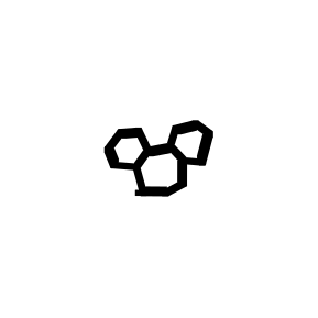 [C]1=CC=c2ccccc2=C2C=CC=CC12